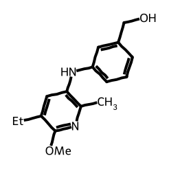 CCc1cc(Nc2cccc(CO)c2)c(C)nc1OC